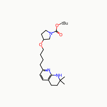 CC1(C)CCc2ccc(CCCCOC3CCN(C(=O)OC(C)(C)C)C3)nc2N1